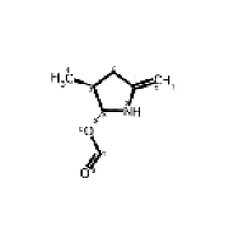 C=C1C[C@H](C)[C@@H](OC=O)N1